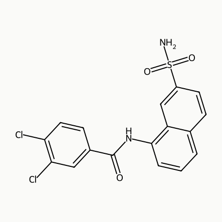 NS(=O)(=O)c1ccc2cccc(NC(=O)c3ccc(Cl)c(Cl)c3)c2c1